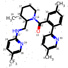 Cc1ccc(-c2ccc(C)cc2C(=O)N2CCC[C@@H](C)C2CNc2ccc(C(F)(F)F)cn2)nc1